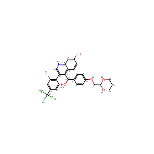 Oc1ccc2c([C@H](O)c3ccc(OCC4OCCCO4)cc3)c(-c3ccc(C(F)(F)F)cc3F)cnc2c1